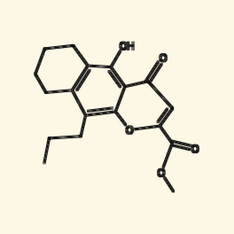 CCCc1c2c(c(O)c3c(=O)cc(C(=O)OC)oc13)CCCC2